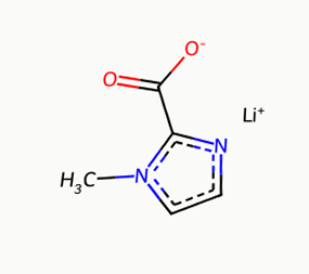 Cn1ccnc1C(=O)[O-].[Li+]